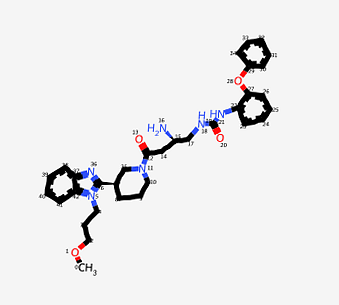 COCCCn1c([C@@H]2CCCN(C(=O)C[C@@H](N)CNC(=O)Nc3ccccc3Oc3ccccc3)C2)nc2ccccc21